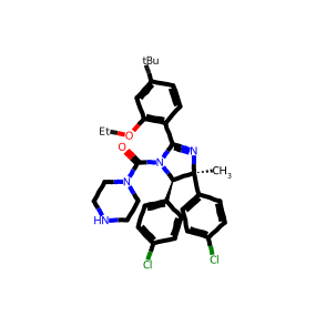 CCOc1cc(C(C)(C)C)ccc1C1=N[C@@](C)(c2ccc(Cl)cc2)[C@@H](c2ccc(Cl)cc2)N1C(=O)N1CCNCC1